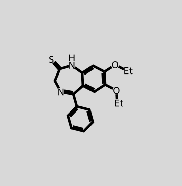 CCOc1cc2c(cc1OCC)C(c1ccccc1)=NCC(=S)N2